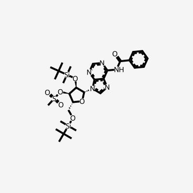 CC(C)(C)[Si](C)(C)OC[C@H]1O[C@@H](n2cnc3c(NC(=O)c4ccccc4)ncnc32)[C@H](O[Si](C)(C)C(C)(C)C)[C@@H]1OS(C)(=O)=O